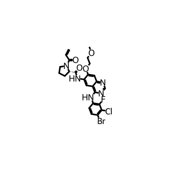 C=CC(=O)N1CCC[C@H]1C(=O)Nc1cc2c(Nc3ccc(Br)c(Cl)c3F)ncnc2cc1OCCOC